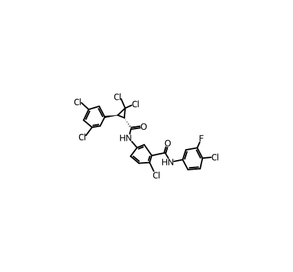 O=C(Nc1ccc(Cl)c(F)c1)c1cc(NC(=O)[C@@H]2[C@@H](c3cc(Cl)cc(Cl)c3)C2(Cl)Cl)ccc1Cl